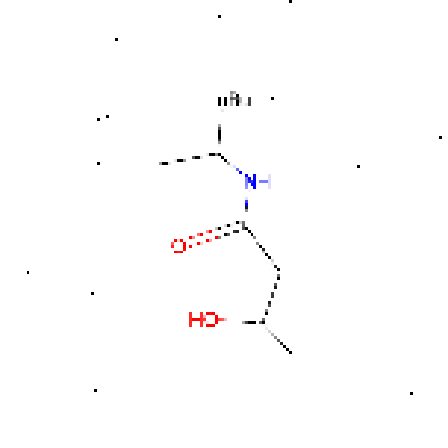 CCCCC(C)NC(=O)CC(C)O